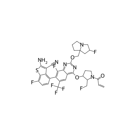 C=CC(=O)N1CCC(Oc2nc(OCC34CCCN3CC(F)C4)nc3c(F)c(-c4ccc(F)c5sc(N)c(C#N)c45)c(C(F)(F)F)cc23)C1CF